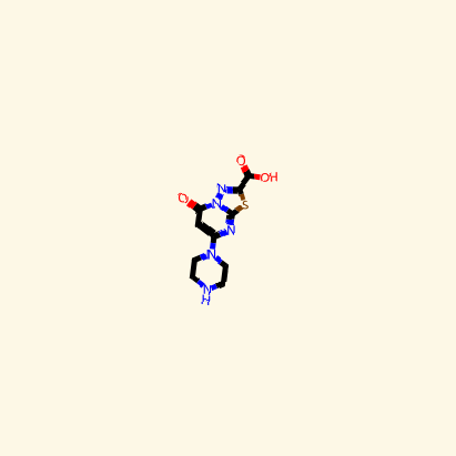 O=C(O)c1nn2c(=O)cc(N3CCNCC3)nc2s1